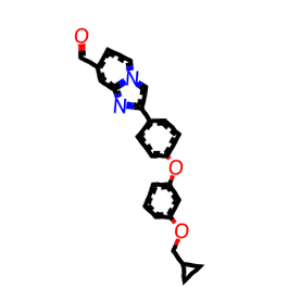 O=Cc1ccn2cc(-c3ccc(Oc4cccc(OCC5CC5)c4)cc3)nc2c1